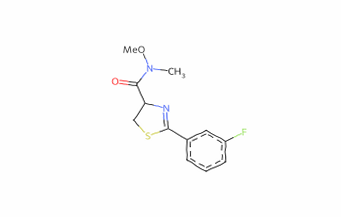 CON(C)C(=O)C1CSC(c2cccc(F)c2)=N1